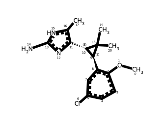 COc1ccc(Cl)cc1[C@H]1[C@H](c2nc(N)[nH]c2C)C1(C)C